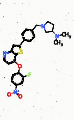 CN(C)[C@H]1CCN(Cc2ccc(-c3cc4nccc(Oc5ccc([N+](=O)[O-])cc5F)c4s3)cc2)C1